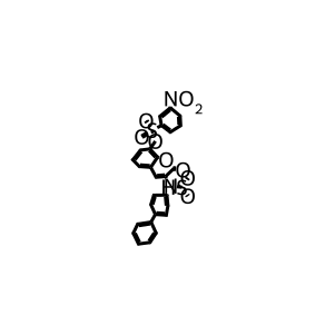 O=c1oc2c(OS(=O)(=O)c3cccc([N+](=O)[O-])c3)cccc2cc1N(c1ccc(-c2ccccc2)cc1)[SH](=O)=O